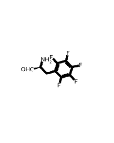 N[C@H](C=O)Cc1c(F)c(F)c(F)c(F)c1F